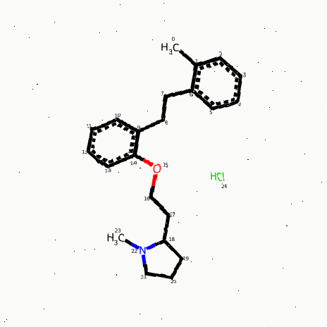 Cc1ccccc1CCc1ccccc1OCCC1CCCN1C.Cl